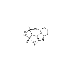 CCc1nc2ccccn2c1C(P(=O)(O)O)P(=O)(O)O